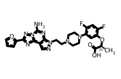 C[C@H](Oc1cc(N2CCN(CCn3ncc4c3nc(N)n3nc(-c5ccco5)nc43)CC2)c(F)cc1F)C(=O)O